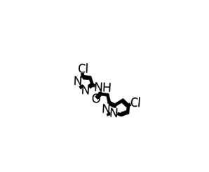 O=C(Cc1ncn2ccc(Cl)cc12)Nc1cc(Cl)ncn1